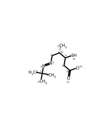 C[C@@H](CN=NC(C)(C)C)C(S)CC(=O)Cl